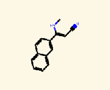 CNC(=CC#N)c1ccc2ccccc2c1